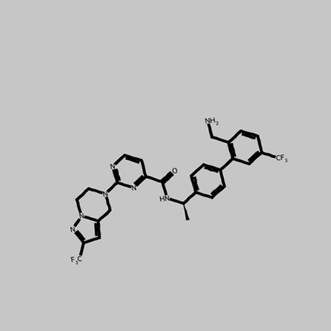 C[C@@H](NC(=O)c1ccnc(N2CCn3nc(C(F)(F)F)cc3C2)n1)c1ccc(-c2cc(C(F)(F)F)ccc2CN)cc1